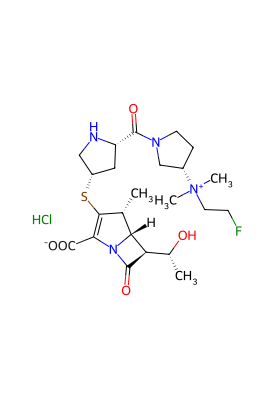 C[C@@H](O)[C@H]1C(=O)N2C(C(=O)[O-])=C(S[C@@H]3CN[C@H](C(=O)N4CC[C@H]([N+](C)(C)CCF)C4)C3)[C@H](C)[C@H]12.Cl